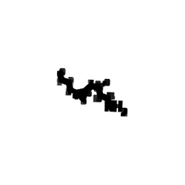 CCCC[C@@H]1CC1C[C@H](C)CCN